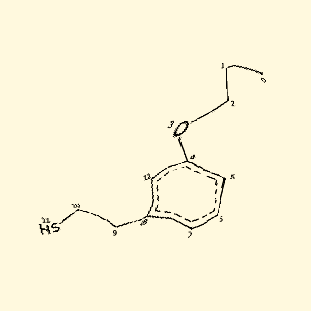 CCCOc1cccc(CCS)c1